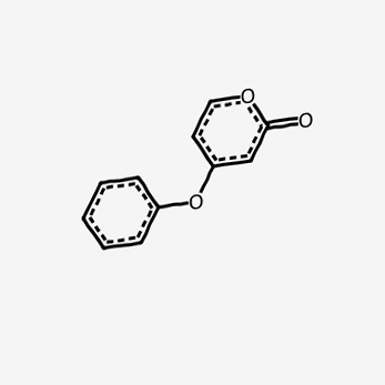 O=c1cc(Oc2ccccc2)cco1